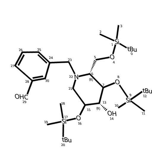 CC(C)(C)[Si](C)(C)OC[C@@H]1C(O[Si](C)(C)C(C)(C)C)[C@H](O)C(O[Si](C)(C)C(C)(C)C)CN1Cc1cccc(C=O)c1